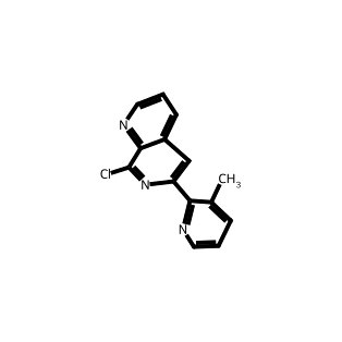 Cc1cccnc1-c1cc2cccnc2c(Cl)n1